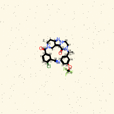 C[C@@H]1Cc2nn3c(c2CN1C(=O)c1ccc(Cl)c(C#N)c1)C(=O)N([C@@H](C)c1cccc(OC(F)(F)F)c1)CC3